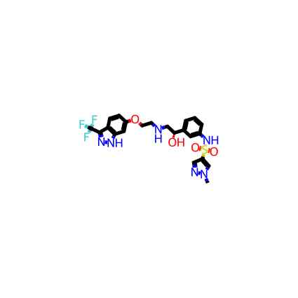 Cn1cc(S(=O)(=O)Nc2cccc([C@@H](O)CNCCOc3ccc4c(C(F)(F)F)n[nH]c4c3)c2)cn1